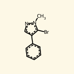 Cn1ncc(-c2ccccc2)c1Br